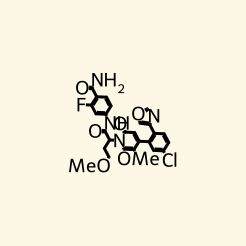 COCCC(C(=O)Nc1ccc(C(N)=O)c(F)c1)n1cc(OC)c(-c2cc(Cl)ccc2-c2cocn2)cc1=O